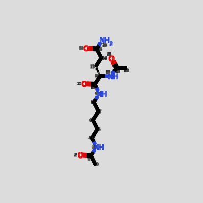 CC(=O)NCCCCCNC(=O)[C@H](CCC(N)=O)NC(C)=O